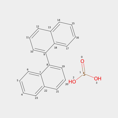 O=S(O)O.c1ccc2c(-c3cccc4ccccc34)cccc2c1